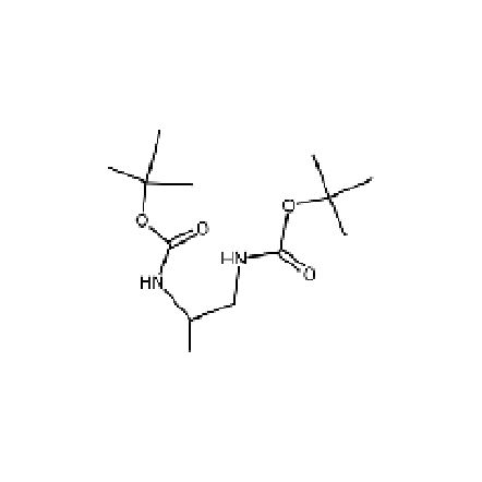 CC(CNC(=O)OC(C)(C)C)NC(=O)OC(C)(C)C